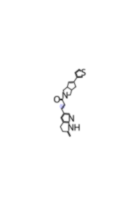 C=C1CCc2cc(/C=C/C(=O)N3CC4C=C(c5ccsc5)CC4C3)cnc2N1